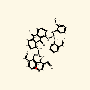 COc1ccccc1OP(Oc1ccccc1C=O)Oc1cccc2c1C(=O)c1c(OP(Oc3ccccc3C=O)Oc3ccccc3C=O)cccc1C2=O